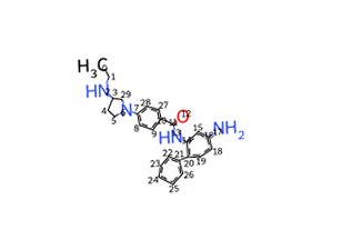 CCN[C@@H]1CCN(c2ccc(C(=O)Nc3cc(N)ccc3-c3ccccc3)cc2)C1